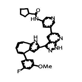 COc1cc(F)cc(C2=CC=C=Cc3[nH]c(-c4n[nH]c5ncc(-c6cncc(NC(=O)C7CCCC7)c6)cc45)cc32)c1